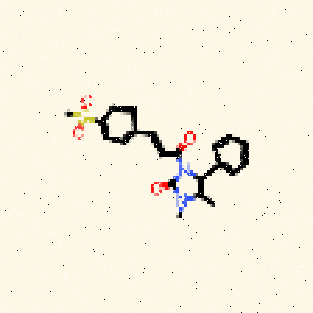 CC1C(c2ccccc2)N(C(=O)C=Cc2ccc(S(C)(=O)=O)cc2)C(=O)N1C